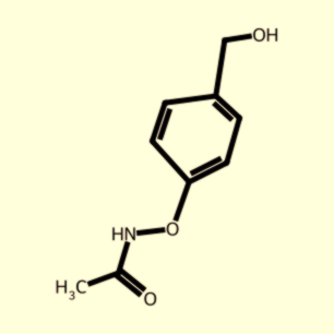 CC(=O)NOc1ccc(CO)cc1